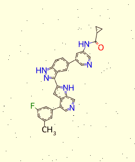 Cc1cc(F)cc(-c2cncc3[nH]c(-c4n[nH]c5ccc(-c6cncc(NC(=O)C7CC7)c6)cc45)cc23)c1